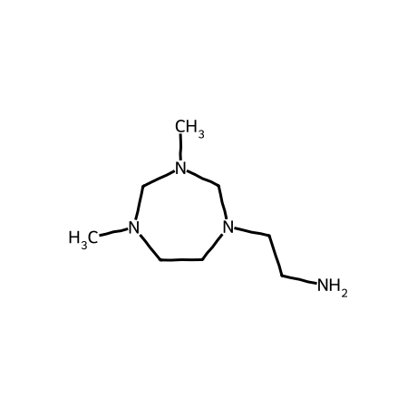 CN1CCN(CCN)CN(C)C1